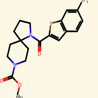 CC(C)(C)OC(=O)N1CCC2(CCCN2C(=O)c2cc3ccc(C(F)(F)F)cc3s2)CC1